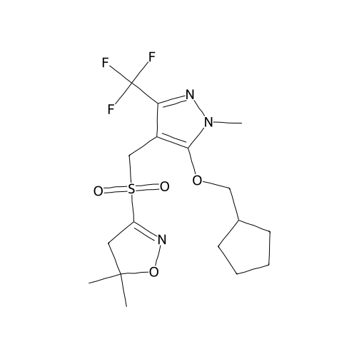 Cn1nc(C(F)(F)F)c(CS(=O)(=O)C2=NOC(C)(C)C2)c1OCC1CCCC1